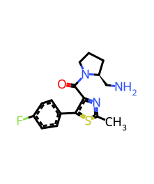 Cc1nc(C(=O)N2CCC[C@H]2CN)c(-c2ccc(F)cc2)s1